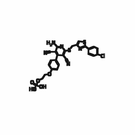 N#Cc1c(N)nc(SCc2csc(-c3ccc(Cl)cc3)n2)c(C#N)c1-c1ccc(OCCOP(=O)(O)O)cc1